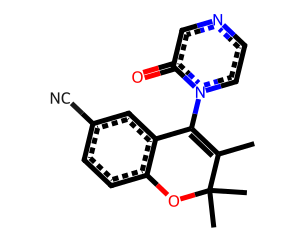 CC1=C(n2ccncc2=O)c2cc(C#N)ccc2OC1(C)C